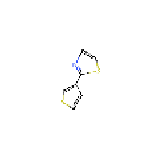 [c]1cc(-c2nccs2)cs1